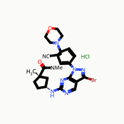 CNC(=O)[C@]1(C)CC[C@@H](Nc2ncc3c(Br)nn(-c4ccc(N5CCOCC5)c(C#N)c4)c3n2)C1.Cl